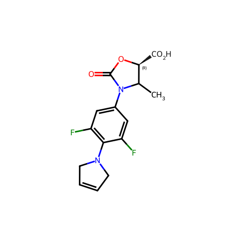 CC1[C@H](C(=O)O)OC(=O)N1c1cc(F)c(N2CC=CC2)c(F)c1